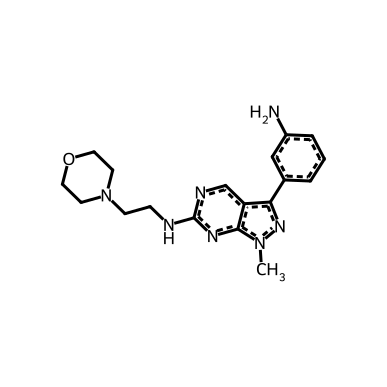 Cn1nc(-c2cccc(N)c2)c2cnc(NCCN3CCOCC3)nc21